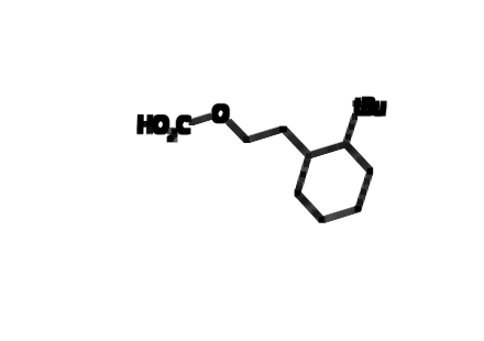 CC(C)(C)C1CCCCC1CCOC(=O)O